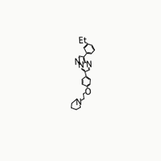 CCc1cccc(-c2cnn3cc(-c4ccc(OCCN5CCCCC5)cc4)cnc23)c1